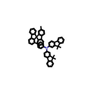 Cc1ccc2c(c1)C1(c3cc(C)ccc3-2)c2ccccc2-c2cccc(-c3ccc(N(c4ccc5c(c4)C(C)(C)c4ccccc4-5)c4ccc5c(c4)C(C)(C)c4ccccc4-5)cc3)c21